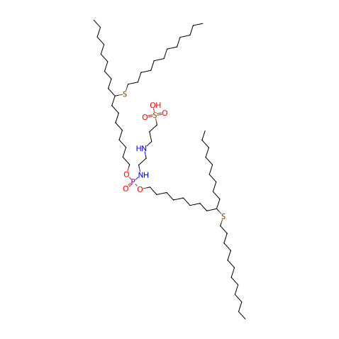 CCCCCCCCCCCCSC(CCCCCCCCC)CCCCCCCCOP(=O)(NCCNCCCS(=O)(=O)O)OCCCCCCCCC(CCCCCCCCC)SCCCCCCCCCCCC